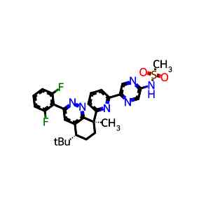 CC(C)(C)[C@H]1CC[C@](C)(c2cccc(-c3cnc(NS(C)(=O)=O)cn3)n2)c2nnc(-c3c(F)cccc3F)cc21